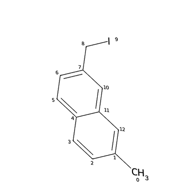 Cc1ccc2ccc(CI)cc2c1